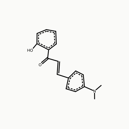 CN(C)c1ccc(C=CC(=O)c2ccccc2O)cc1